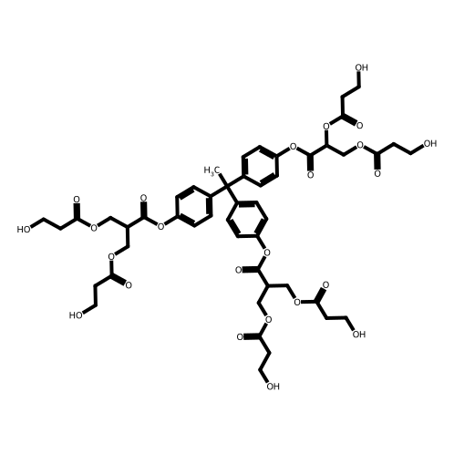 CC(c1ccc(OC(=O)C(COC(=O)CCO)COC(=O)CCO)cc1)(c1ccc(OC(=O)C(COC(=O)CCO)COC(=O)CCO)cc1)c1ccc(OC(=O)C(COC(=O)CCO)OC(=O)CCO)cc1